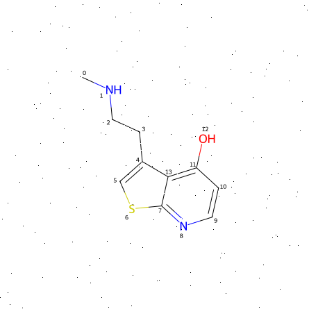 CNCCc1csc2nccc(O)c12